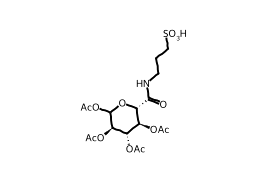 CC(=O)OC1O[C@H](C(=O)NCCCS(=O)(=O)O)[C@@H](OC(C)=O)[C@H](OC(C)=O)[C@H]1OC(C)=O